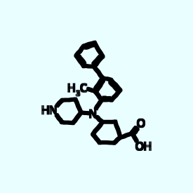 Cc1c(-c2ccccc2)cccc1N(C1CCNCC1)C1CCCC(C(=O)O)C1